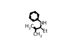 C=C(C)[C@H](CC)Nc1ccccc1